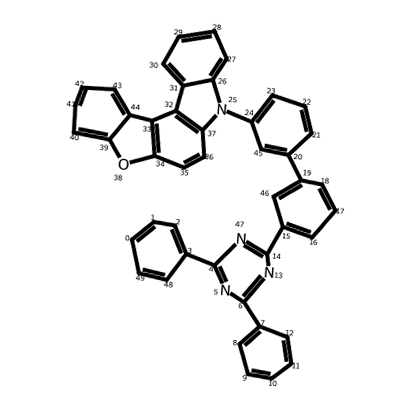 c1ccc(-c2nc(-c3ccccc3)nc(-c3cccc(-c4cccc(-n5c6ccccc6c6c7c(ccc65)oc5ccccc57)c4)c3)n2)cc1